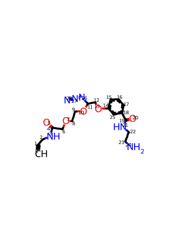 C#CCNC(=O)COCCOC(COc1cccc(C(=O)NCCN)c1)N=[N+]=[N-]